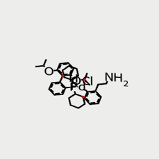 CC(C)Oc1cccc(OC(C)C)c1-c1ccccc1[PH](C1CCCCC1)(C1CCCCC1)[Pd]([Cl])[c]1ccccc1CCN